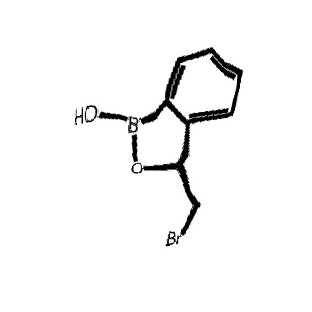 OB1OC(CBr)c2ccccc21